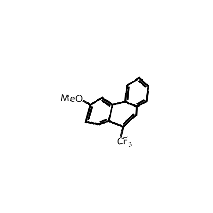 COc1ccc2c(C(F)(F)F)cc3ccccc3c2c1